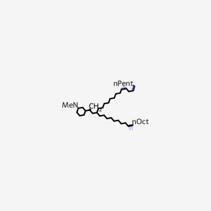 C=C(CC(CCCCCCCC/C=C\C/C=C\CCCCC)CCCCCCCC/C=C\CCCCCCCC)C1CCCC(NC)C1